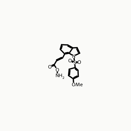 COc1ccc(S(=O)(=O)n2ccc3cccc(/C=C/C(=O)ON)c32)cc1